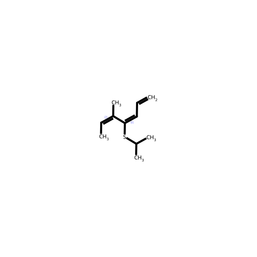 C=C/C=C(SC(C)C)\C(C)=C/C